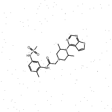 Cc1ccc(NS(C)(=O)=O)cc1NC(=O)CN1CC(C)N(c2ncnc3sccc23)C(C)C1